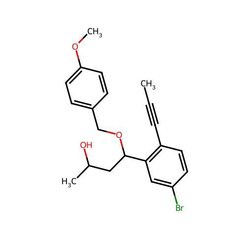 CC#Cc1ccc(Br)cc1C(CC(C)O)OCc1ccc(OC)cc1